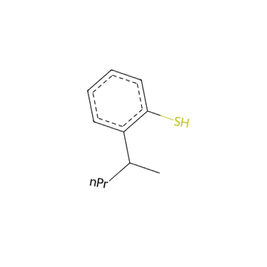 CCCC(C)c1ccccc1S